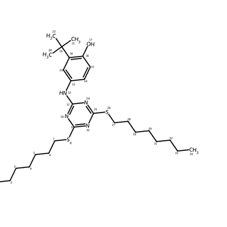 CCCCCCCCSc1nc(Nc2ccc(O)c(C(C)(C)C)c2)nc(SCCCCCCCC)n1